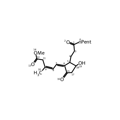 CCCCCC(=O)CCC1C(=CC=C(C)CC(=O)OC)C(=O)CC1O